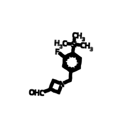 C[Si](C)(C)c1ccc(CN2CC(C=O)C2)cc1F